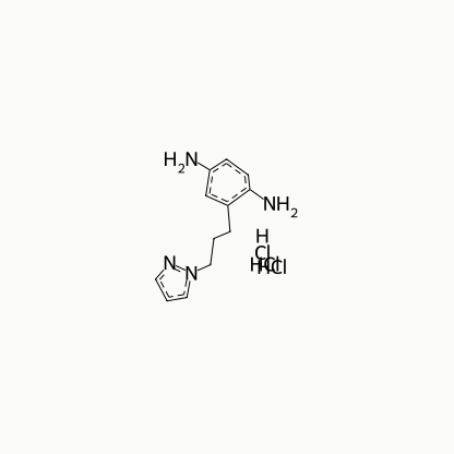 Cl.Cl.Cl.Nc1ccc(N)c(CCCn2cccn2)c1